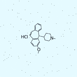 COc1ccc2c(c1)C(C1CCN(C)CC1)c1ccccc1C=C2.Cl